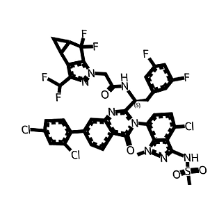 Cn1nc(NS(C)(=O)=O)c2c(Cl)ccc(-n3c([C@H](Cc4cc(F)cc(F)c4)NC(=O)Cn4nc(C(F)F)c5c4C(F)(F)C4CC54)nc4cc(-c5ccc(Cl)cc5Cl)ccc4c3=O)c21